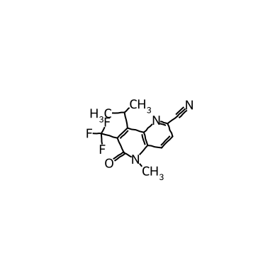 CC(C)c1c(C(F)(F)F)c(=O)n(C)c2ccc(C#N)nc12